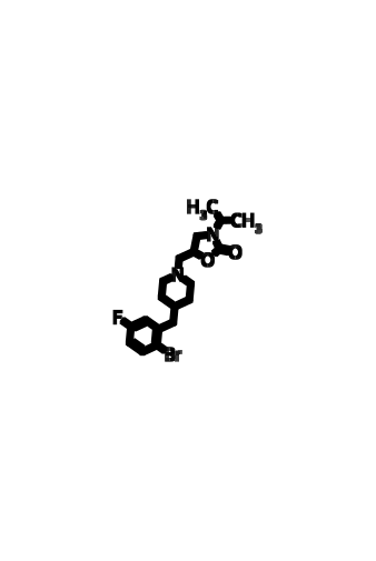 CC(C)N1CC(CN2CCC(Cc3cc(F)ccc3Br)CC2)OC1=O